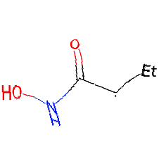 CC[CH]C(=O)NO